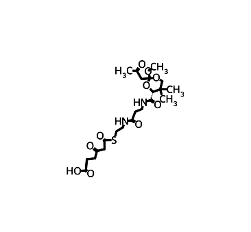 COC1(CC(C)=O)OCC(C)(C)[C@H](C(=O)NCCC(=O)NCCSC(=O)CC(=O)CCC(=O)O)O1